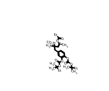 CCC(=O)O[C@@H](C)CC(N)(Cc1ccc(OC(=O)OC(C)(C)CC)c(OC(=O)OC(C)(C)CC)c1)C(=O)O